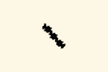 C=C(C)c1ccc(OCc2ccc(COc3ccc(C(=C)C)cc3)cc2)cc1